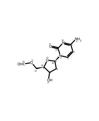 Nc1ccn([C@H]2CC(O)[C@@H](COC=O)O2)c(=O)n1